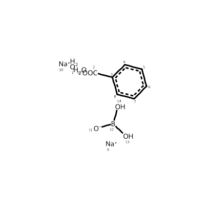 O.O.O=C([O-])c1ccccc1.[Na+].[Na+].[O-]B(O)O